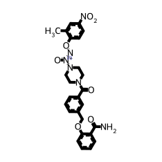 Cc1cc([N+](=O)[O-])ccc1O/N=[N+](\[O-])N1CCN(C(=O)c2cccc(COc3ccccc3C(N)=O)c2)CC1